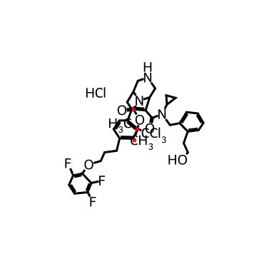 CC(C)(OC(=O)N1C2CNCC1C(C(=O)N(Cc1ccccc1CCO)C1CC1)=C(c1ccc(CCCOc3c(F)ccc(F)c3F)cc1)C2)C(Cl)(Cl)Cl.Cl